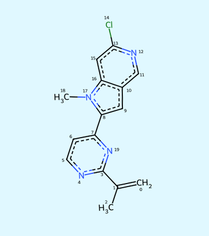 C=C(C)c1nccc(-c2cc3cnc(Cl)cc3n2C)n1